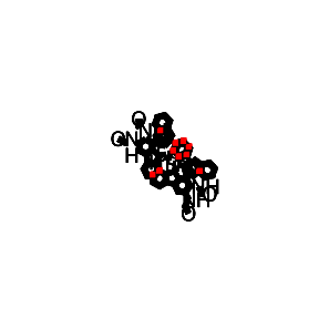 O=CNc1cc2c(c(C3C=Cc4ccccc43)c1NC=O)[CH]([Sn]([Hf][Sn]([c]1ccccc1)([c]1ccccc1)[CH]1c3ccccc3-c3cc(NC=O)c(NC=O)c(C4C=Cc5ccccc54)c31)([c]1ccccc1)[c]1ccccc1)c1ccccc1-2